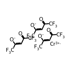 O=C(/C=C(\[O-])C(F)(F)F)C(F)(F)F.O=C(/C=C(\[O-])C(F)(F)F)C(F)(F)F.O=C(/C=C(\[O-])C(F)(F)F)C(F)(F)F.[Cr+3]